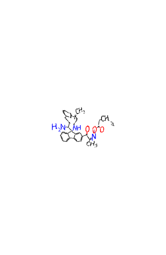 CCCCNC1(C(N)CCC)c2ccccc2-c2ccc(C(=O)/C(C)=N\OC(=O)CC)cc21